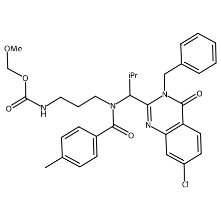 COCOC(=O)NCCCN(C(=O)c1ccc(C)cc1)C(c1nc2cc(Cl)ccc2c(=O)n1Cc1ccccc1)C(C)C